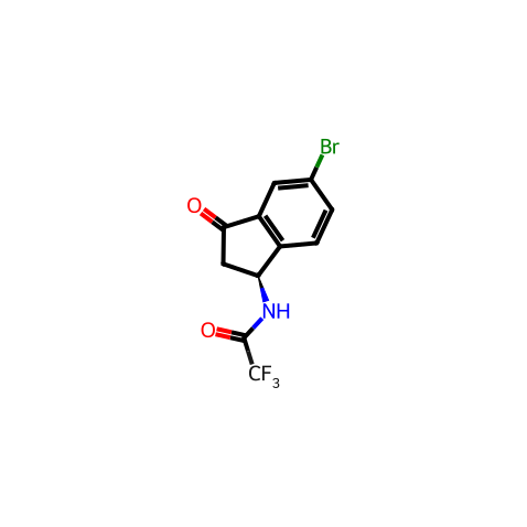 O=C1C[C@H](NC(=O)C(F)(F)F)c2ccc(Br)cc21